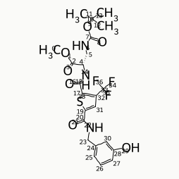 COC(=O)[C@H](CNC(=O)OC(C)(C)C)NC(=O)c1sc(C(=O)NCc2cccc(O)c2)cc1C(F)(F)F